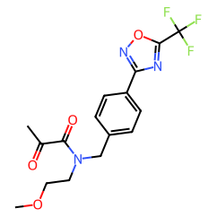 COCCN(Cc1ccc(-c2noc(C(F)(F)F)n2)cc1)C(=O)C(C)=O